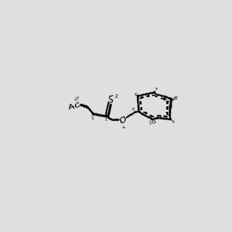 CC(=O)CC(=S)Oc1ccccc1